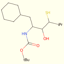 CC(C)C(S)C(O)C(CC1CCCCC1)NC(=O)OC(C)(C)C